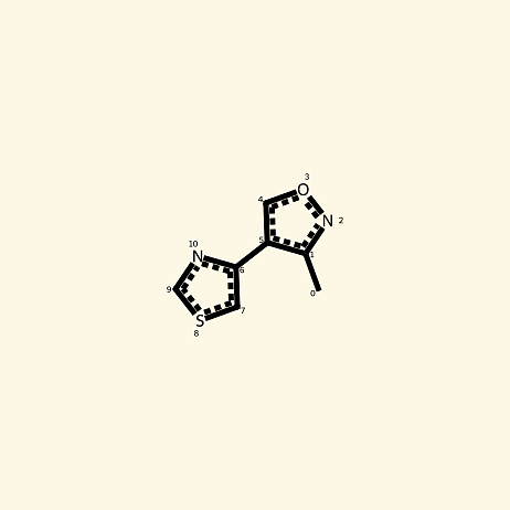 Cc1nocc1-c1cscn1